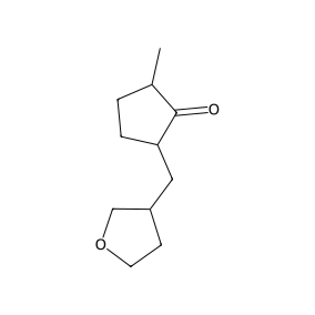 CC1CCC(CC2CCOC2)C1=O